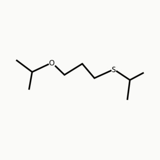 CC(C)OCCCSC(C)C